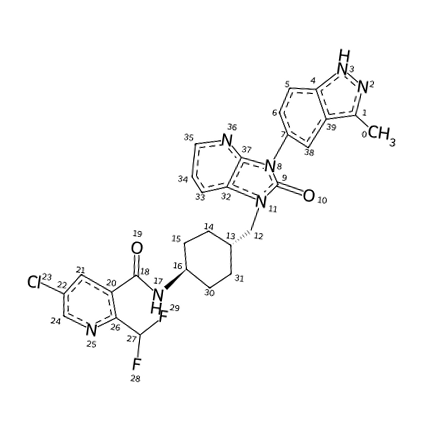 Cc1n[nH]c2ccc(-n3c(=O)n(C[C@H]4CC[C@H](NC(=O)c5cc(Cl)cnc5C(F)F)CC4)c4cccnc43)cc12